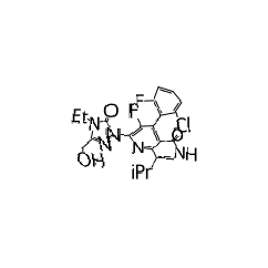 CCn1c(CO)nn(-c2nc3c(C(C)C)c[nH]c(=O)c3c(-c3c(F)cccc3Cl)c2F)c1=O